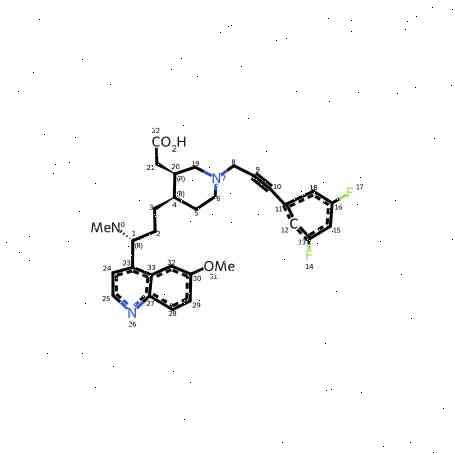 CN[C@H](CC[C@@H]1CCN(CC#Cc2cc(F)cc(F)c2)C[C@@H]1CC(=O)O)c1ccnc2ccc(OC)cc12